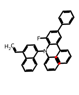 C=Cc1ccc(N(c2ccccc2)c2c(F)cc(-c3ccccc3)cc2-c2ccccc2)c2ccccc12